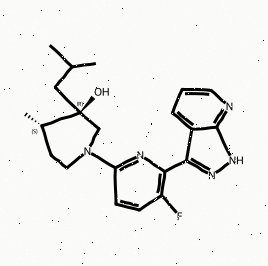 CC(C)C[C@]1(O)CN(c2ccc(F)c(-c3n[nH]c4ncccc34)n2)CC[C@@H]1C